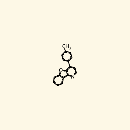 Cc1ccc(-c2ccnc3c2oc2ccccc23)cc1